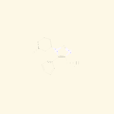 C=C1CCCC(n2cnc(C(=O)O)c2-c2ccccc2)C1